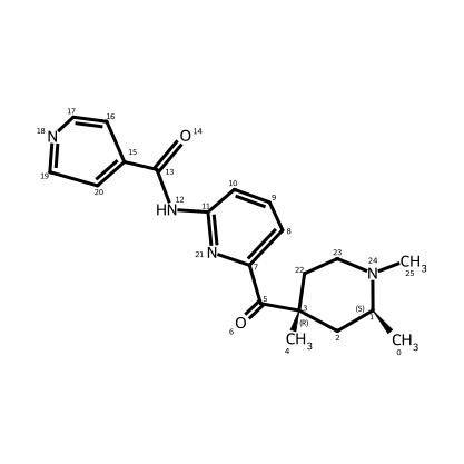 C[C@H]1C[C@](C)(C(=O)c2cccc(NC(=O)c3ccncc3)n2)CCN1C